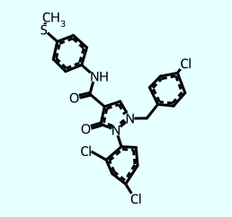 CSc1ccc(NC(=O)c2cn(Cc3ccc(Cl)cc3)n(-c3ccc(Cl)cc3Cl)c2=O)cc1